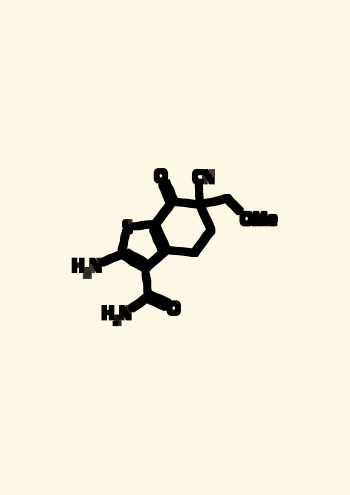 COCC1(C#N)CCc2c(sc(N)c2C(N)=O)C1=O